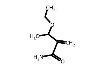 C=C(C(N)=O)C(C)OCC